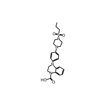 CCCS(=O)(=O)N1CCN(c2ccc(N3CCN(C(=O)O)c4ccccc43)cc2)CC1